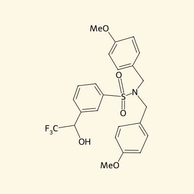 COc1ccc(CN(Cc2ccc(OC)cc2)S(=O)(=O)c2cccc(C(O)C(F)(F)F)c2)cc1